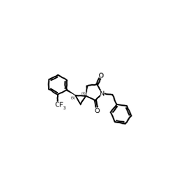 O=C1C[C@]2(C[C@H]2c2ccccc2C(F)(F)F)C(=O)N1Cc1ccccc1